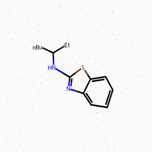 CCCCC(CC)Nc1nc2ccccc2s1